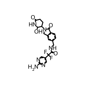 Nc1ncc(C(F)(F)C(=O)NCc2ccc3c(c2)CN(C2CCC(=O)NC2O)C3=O)cn1